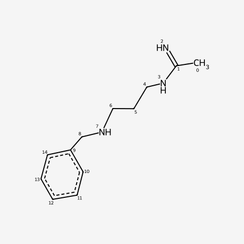 CC(=N)NCCCNCc1ccccc1